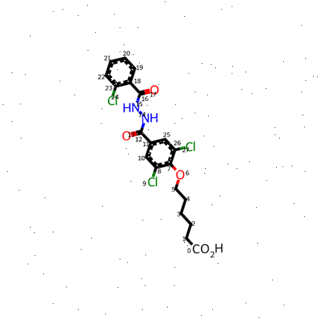 O=C(O)CCCCCOc1c(Cl)cc(C(=O)NNC(=O)c2ccccc2Cl)cc1Cl